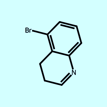 Brc1cccc2c1CCC=N2